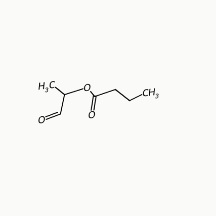 CCCC(=O)OC(C)C=O